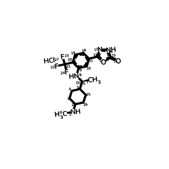 CNC1CCC([C@H](C)Nc2cc(-c3n[nH]c(=O)o3)ccc2C(F)(F)F)CC1.Cl